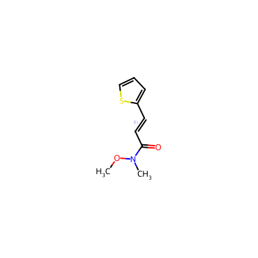 CON(C)C(=O)/C=C/c1cccs1